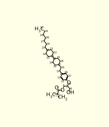 C=C(C)C(=O)OCC(CO)Oc1ccc(CCC2CCC(C3CCC(CCCCCCC)CC3)CC2)cc1